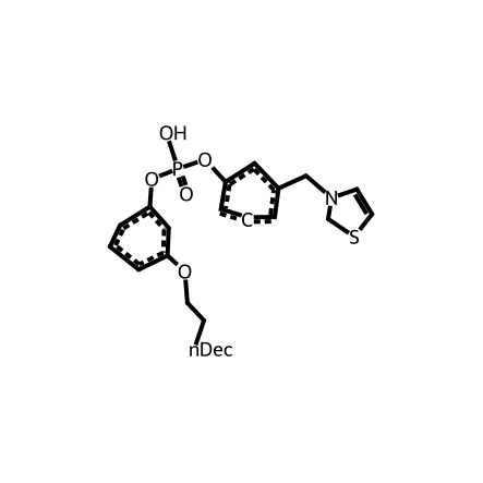 CCCCCCCCCCCCOc1cccc(OP(=O)(O)Oc2cccc(CN3C=CSC3)c2)c1